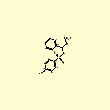 O=C(O)C[C@@H](CS(=O)(=O)c1ccc(F)cc1)c1ccccc1